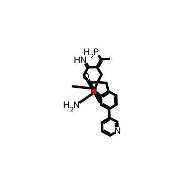 C/C(P)=C1\CC2(CCC1=N)Cc1ccc(-c3cccnc3)cc1C21N=C(N)N(C)C1=O